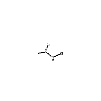 CCN[SiH](C)Cl